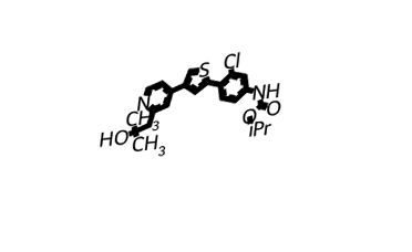 CC(C)OC(=O)Nc1ccc(-c2cc(-c3ccnc(CC(C)(C)O)c3)cs2)c(Cl)c1